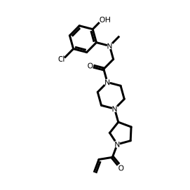 C=CC(=O)N1CCC(N2CCN(C(=O)CN(C)c3cc(Cl)ccc3O)CC2)C1